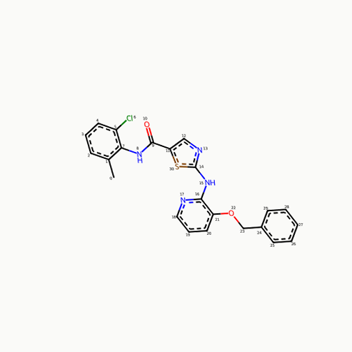 Cc1cccc(Cl)c1NC(=O)c1cnc(Nc2ncccc2OCc2ccccc2)s1